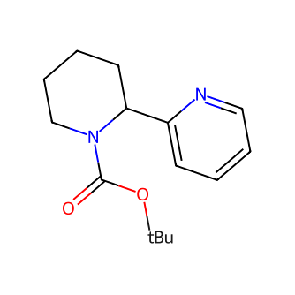 CC(C)(C)OC(=O)N1CCCCC1c1ccccn1